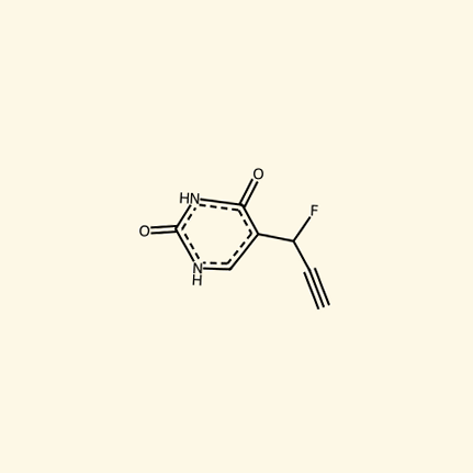 C#CC(F)c1c[nH]c(=O)[nH]c1=O